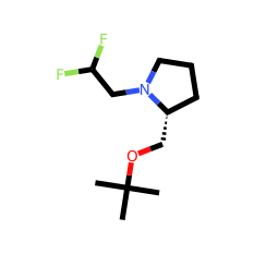 CC(C)(C)OC[C@H]1CCCN1CC(F)F